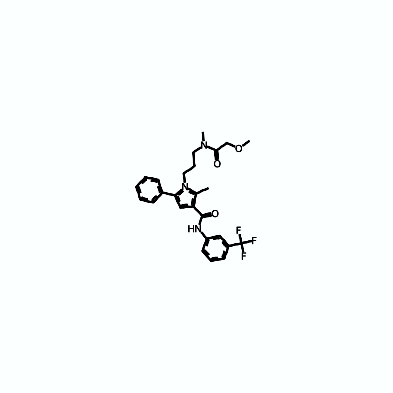 COCC(=O)N(C)CCCn1c(-c2ccccc2)cc(C(=O)Nc2cccc(C(F)(F)F)c2)c1C